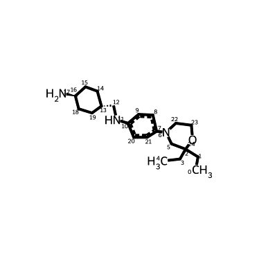 CCC1(CC)CN(c2ccc(NC[C@H]3CC[C@H](N)CC3)cc2)CCO1